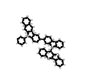 c1ccc(-n2c3ccc(-c4ccc5c6ccccc6n(-c6c7ccccc7nc7c6oc6ccccc67)c5c4)cc3c3cc4ccccc4cc32)cc1